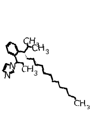 CCCCCCCCCCCCC[C@H](c1ccccc1C(CC)n1ccnc1)C(C)C